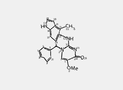 COc1cn(Cc2ccccc2)c(Nc2ccc3[nH]ccc3c2C)nc1=O